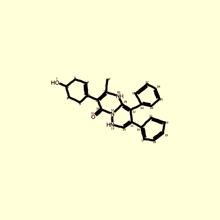 CC1=C(C2=CCC(O)CC2)C(=O)N2NC=C(c3ccccc3)C(c3ccccc3)=C2N1